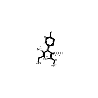 Cc1ccc(C2C(C#N)=C(CC(C)C)NC(CC(C)C)=C2C(=O)O)cc1